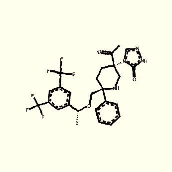 CC(=O)[C@]1(n2cn[nH]c2=O)CC[C@@](CO[C@H](C)c2cc(C(F)(F)F)cc(C(F)(F)F)c2)(c2ccccc2)NC1